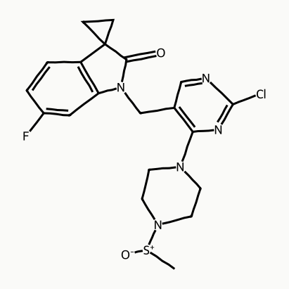 C[S+]([O-])N1CCN(c2nc(Cl)ncc2CN2C(=O)C3(CC3)c3ccc(F)cc32)CC1